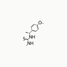 CNC(=S)N[C@@H](C)c1ccc(OC)cc1